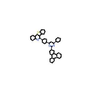 c1ccc(-c2cc(-c3ccc(-c4nc5ccccc5c5sc6ccccc6c45)cc3)nc(-c3ccc4c5ccccc5c5ccccc5c4c3)n2)cc1